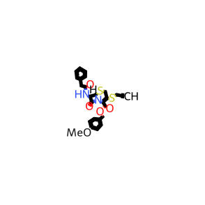 C#CCSC1=C(C(=O)OCc2ccc(OC)cc2)N2C(=O)[C@@H](NC(=O)Cc3ccccc3)[C@H]2SC1